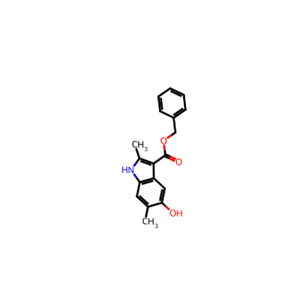 Cc1cc2[nH]c(C)c(C(=O)OCc3ccccc3)c2cc1O